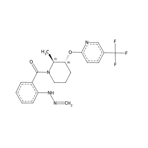 C=NNc1ccccc1C(=O)N1CCC[C@@H](Oc2ccc(C(F)(F)F)cn2)[C@@H]1C